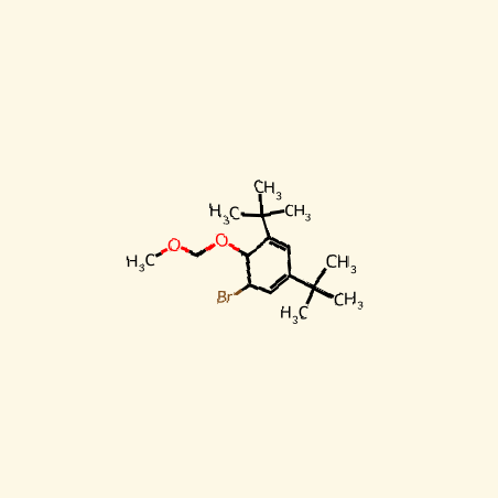 COCO[C]1C(C(C)(C)C)=CC(C(C)(C)C)=CC1Br